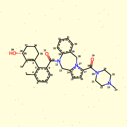 CC1=C(c2c(C)cccc2C(=O)N2Cc3ccc(C(=O)N4CCN(C)CC4)n3Cc3ccccc32)CCC[C@H]1O